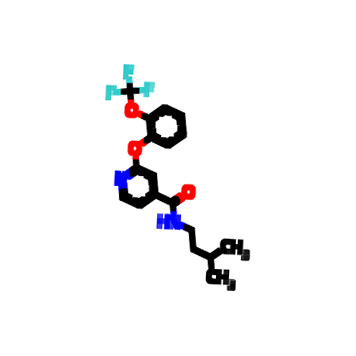 CC(C)CCNC(=O)c1ccnc(Oc2ccccc2OC(F)(F)F)c1